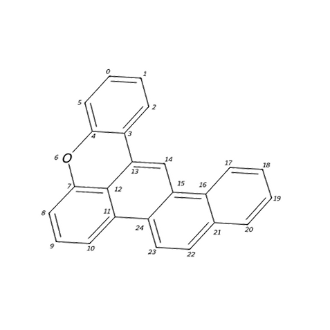 c1ccc2c(c1)Oc1cccc3c1c-2cc1c2ccccc2ccc31